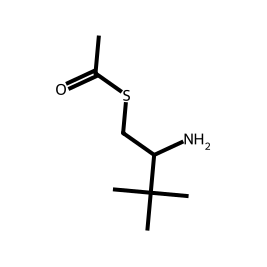 CC(=O)SCC(N)C(C)(C)C